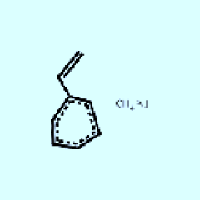 C.C=Cc1ccccc1.[Pd]